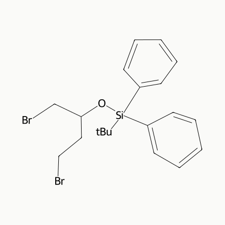 CC(C)(C)[Si](OC(CBr)CCBr)(c1ccccc1)c1ccccc1